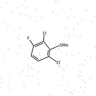 CSc1c(Cl)ccc(F)c1Cl